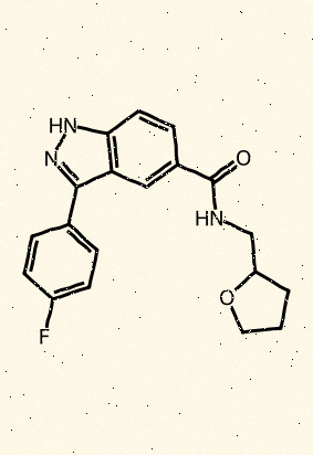 O=C(NCC1CCCO1)c1ccc2[nH]nc(-c3ccc(F)cc3)c2c1